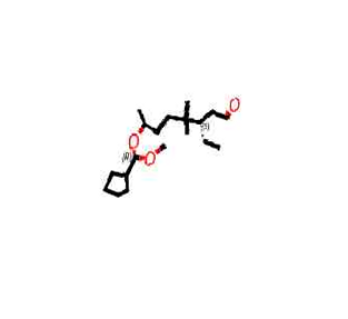 CC[C@@H](CC=O)C(C)(C)CCC(C)O[C@@H](OC)C1CCCC1